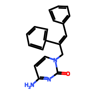 Nc1ccn(CC(=Cc2ccccc2)c2ccccc2)c(=O)n1